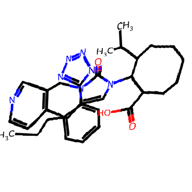 CCCCc1cn(C2C(C(=O)O)CCCCCC2C(C)C)c(=O)n1Cc1cnccc1-c1ccccc1-c1nnn[nH]1